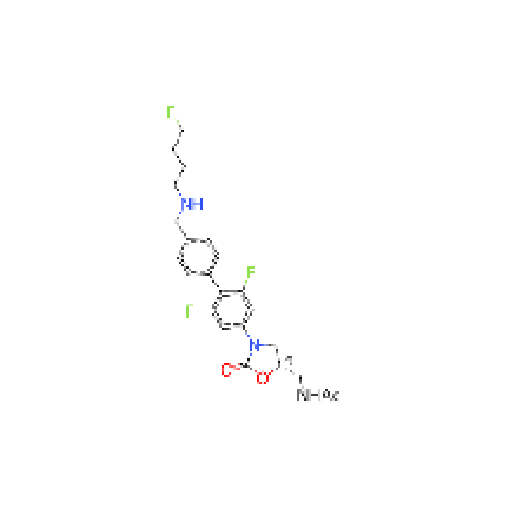 CC(=O)NC[C@H]1CN(c2cc(F)c(-c3ccc(CNCCCCF)cc3)c(F)c2)C(=O)O1